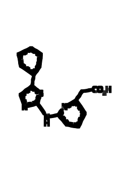 O=C(O)Cc1cccc(Nc2ncc(-c3ccccc3)s2)n1